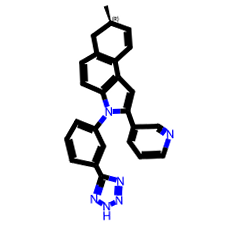 C[C@H]1C=Cc2c(ccc3c2cc(-c2cccnc2)n3-c2cccc(-c3nn[nH]n3)c2)C1